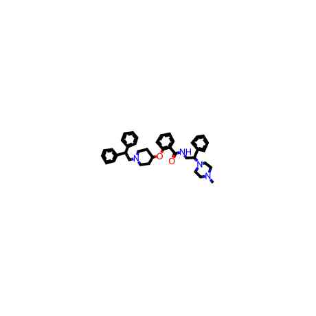 CN1CCN(C(CNC(=O)c2ccccc2OC2CCN(CC(c3ccccc3)c3ccccc3)CC2)c2ccccc2)CC1